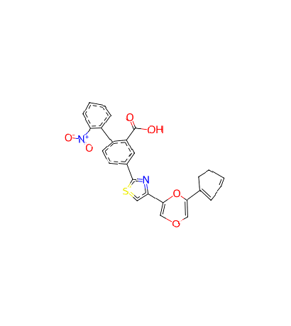 O=C(O)c1cc(-c2nc(C3=COC=C(C4=CC=CCC4)O3)cs2)ccc1-c1ccccc1[N+](=O)[O-]